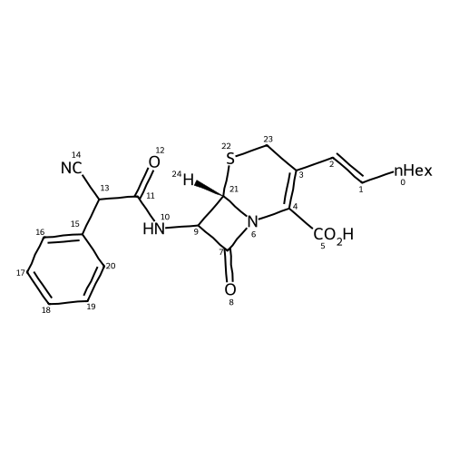 CCCCCCC=CC1=C(C(=O)O)N2C(=O)C(NC(=O)C(C#N)c3ccccc3)[C@@H]2SC1